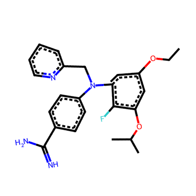 CCOc1cc(OC(C)C)c(F)c(N(Cc2ccccn2)c2ccc(C(=N)N)cc2)c1